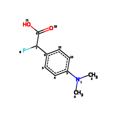 CN(C)c1ccc(C(F)C(=O)O)cc1